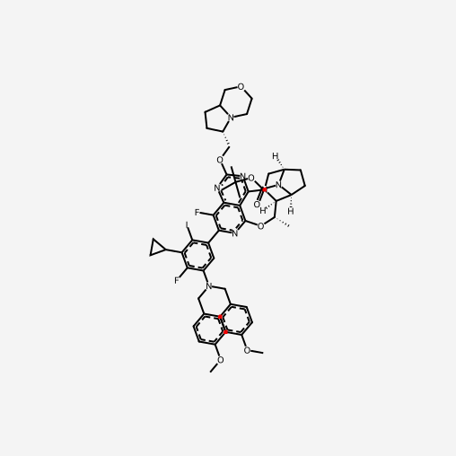 COc1ccc(CN(Cc2ccc(OC)cc2)c2cc(-c3nc4c5c(nc(OC[C@@H]6CCC7COCCN76)nc5c3F)N3C[C@H]5CC[C@@H]([C@H]3[C@H](C)O4)N5C(=O)OC(C)(C)C)c(I)c(C3CC3)c2F)cc1